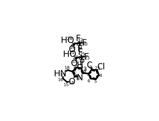 Cc1c(Cl)cccc1-c1ccc2c(n1)OCCNC2.O=C(O)C(F)(F)F.O=C(O)C(F)(F)F